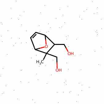 CC1(CO)C2C=CC(O2)C1CO